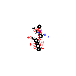 COc1cccc2c1C(=O)c1c(O)c3c(c(O)c1C2=O)C[C@@](C)(C(=O)CO)C[C@@H]3O[C@H]1C[C@H](N)[C@H](OP(=O)(N[C@@H](C)C(=O)OC(C)C)Oc2ccccc2)[C@H](C)O1